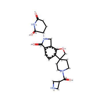 O=C1CC[C@H](N2Cc3c(ccc4c3OCC43CCN(C(=O)C4CNC4)CC3)C2=O)C(=O)N1